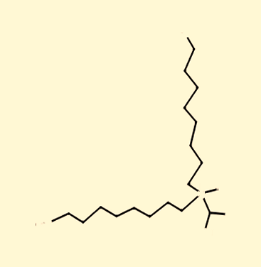 CCCCCCCCCCCCCCCCCC[PH](CC)(CCCCCCCCCCCCCCCCCC)C(C)O